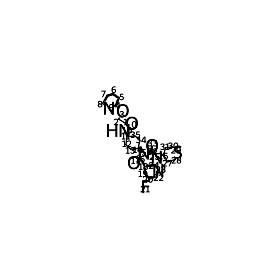 O=C(COc1ccccn1)NC1CCC(n2c(=O)c3cc(F)cnc3n(C3CCSCC3)c2=O)CC1